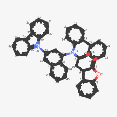 C1=C2Oc3ccccc3C2CC(N(c2ccccc2-c2ccccc2)c2cc(-n3c4ccccc4c4ccccc43)cc3ccccc23)=C1